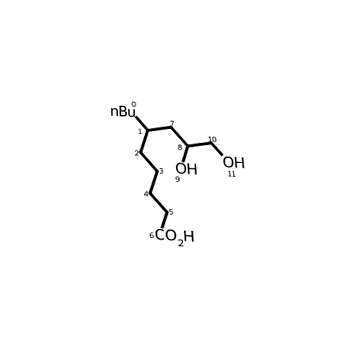 CCCCC(CCCCC(=O)O)CC(O)CO